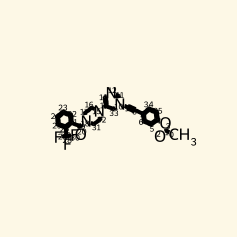 CC(=O)Oc1ccc(C#CN2C=NC=C(N3CCN(C(=O)c4ccccc4C(F)(F)F)CC3)C2)cc1